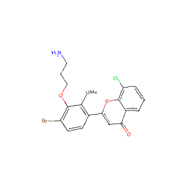 COc1c(-c2cc(=O)c3cccc(Cl)c3o2)ccc(Br)c1OCCCN